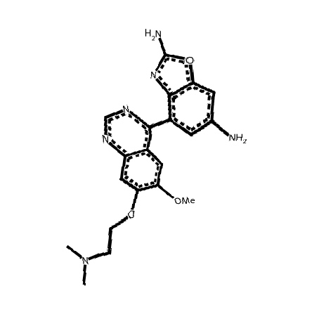 COc1cc2c(-c3cc(N)cc4oc(N)nc34)ncnc2cc1OCCN(C)C